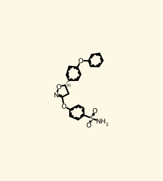 NS(=O)(=O)c1ccc(OC2=NO[C@H](c3ccc(Oc4ccccc4)cc3)C2)cc1